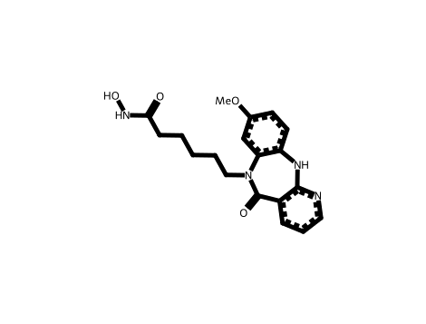 COc1ccc2c(c1)N(CCCCCC(=O)NO)C(=O)c1cccnc1N2